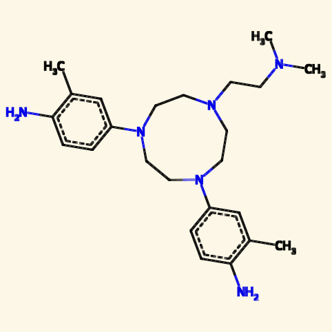 Cc1cc(N2CCN(CCN(C)C)CCN(c3ccc(N)c(C)c3)CC2)ccc1N